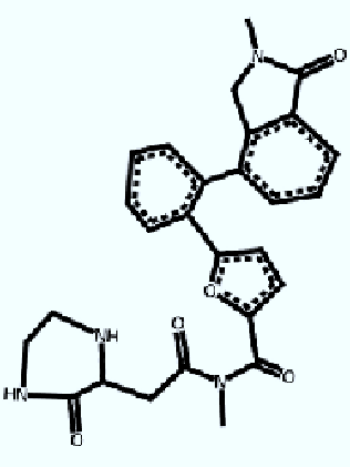 CN1Cc2c(cccc2-c2ccccc2-c2ccc(C(=O)N(C)C(=O)CC3NCCNC3=O)o2)C1=O